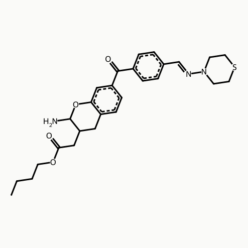 CCCCOC(=O)CC1Cc2ccc(C(=O)c3ccc(C=NN4CCSCC4)cc3)cc2OC1N